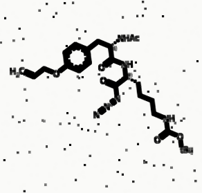 C=CCOc1ccc(C[C@H](NC(C)=O)C(=O)N[C@H](CCCCNC(=O)OC(C)(C)C)C(=O)N=[N+]=[N-])cc1